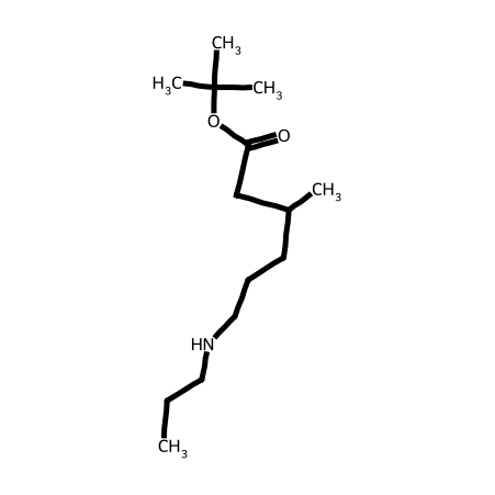 CCCNCCCC(C)CC(=O)OC(C)(C)C